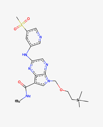 CC(C)(C)NC(=O)c1cn(COCC[Si](C)(C)C)c2ncc(Nc3cncc(S(C)(=O)=O)c3)nc12